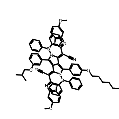 CCCCCCOc1ccc(-c2c3/c(=C(\C#N)c4nc5cc(OC)ccc5s4)n(B(c4ccccc4)c4ccccc4)c(-c4cccc(OCC(C)C)c4)c3/c(=C(\C#N)c3nc4cc(OC)ccc4s3)n2B(c2ccccc2)c2ccccc2)cc1